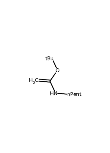 C=C(NCCCCC)OC(C)(C)C